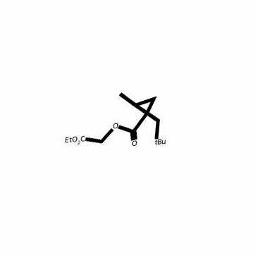 CCOC(=O)COC(=O)C1(CC(C)(C)C)CC1C